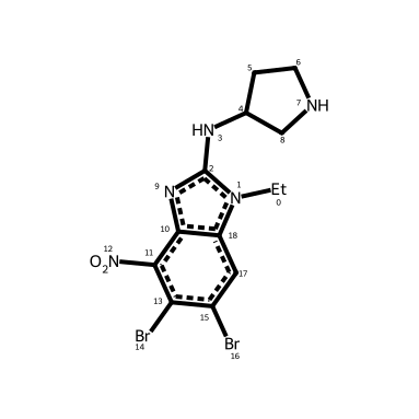 CCn1c(NC2CCNC2)nc2c([N+](=O)[O-])c(Br)c(Br)cc21